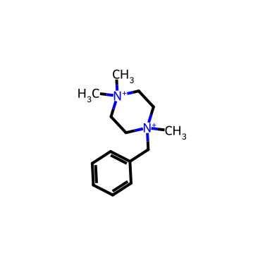 C[N+]1(C)CC[N+](C)(Cc2ccccc2)CC1